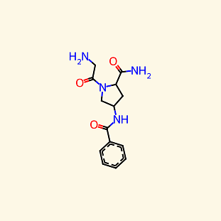 NCC(=O)N1CC(NC(=O)c2ccccc2)CC1C(N)=O